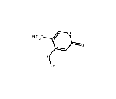 CCOC(=O)c1coc(=O)cc1OCC